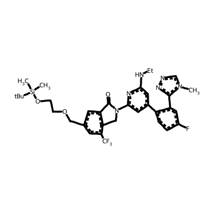 CCNc1cc(-c2ccc(F)cc2-c2nncn2C)cc(N2Cc3c(cc(COCCO[Si](C)(C)C(C)(C)C)cc3C(F)(F)F)C2=O)n1